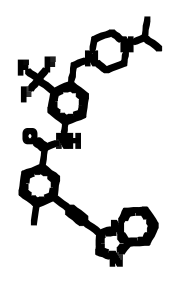 Cc1ccc(C(=O)Nc2ccc(CN3CCN(C(C)C)CC3)c(C(F)(F)F)c2)cc1C#Cc1cnc2ccccn12